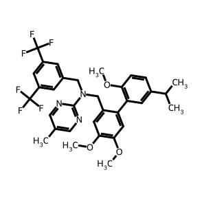 COc1cc(CN(Cc2cc(C(F)(F)F)cc(C(F)(F)F)c2)c2ncc(C)cn2)c(-c2cc(C(C)C)ccc2OC)cc1OC